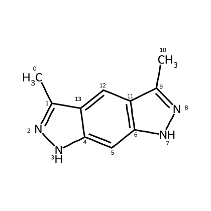 Cc1n[nH]c2cc3[nH]nc(C)c3cc12